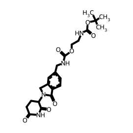 CC(C)(C)OC(=O)NCCOC(=O)NCc1ccc2c(c1)CN(C1CCC(=O)NC1=O)C2=O